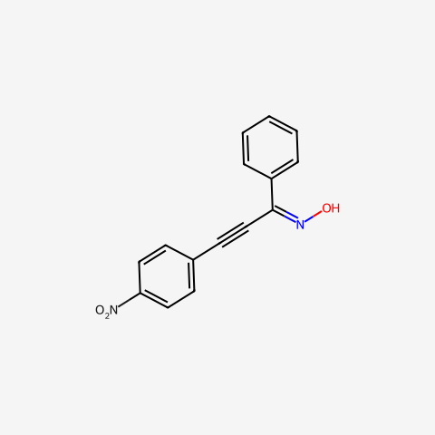 O=[N+]([O-])c1ccc(C#C/C(=N/O)c2ccccc2)cc1